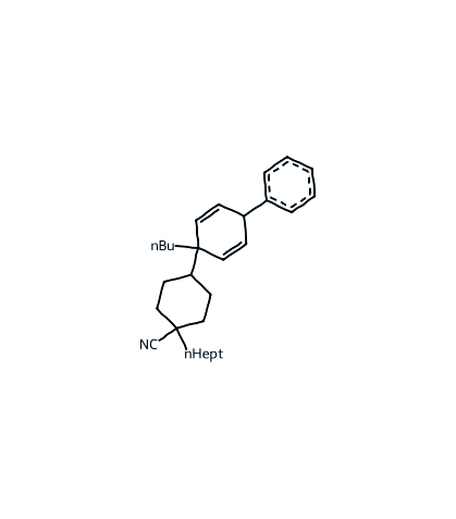 CCCCCCCC1(C#N)CCC(C2(CCCC)C=CC(c3ccccc3)C=C2)CC1